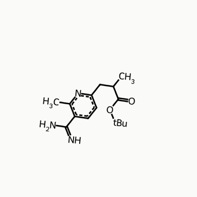 Cc1nc(CC(C)C(=O)OC(C)(C)C)ccc1C(=N)N